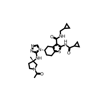 CC(=O)N1CC[C@](C)(Nc2nncn2[C@H]2CCc3sc(NC(=O)C4CC4)c(C(=O)NCC4CC4)c3C2)C1